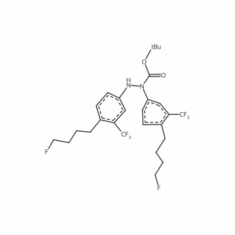 CC(C)(C)OC(=O)N(Nc1ccc(CCCCF)c(C(F)(F)F)c1)c1ccc(CCCCF)c(C(F)(F)F)c1